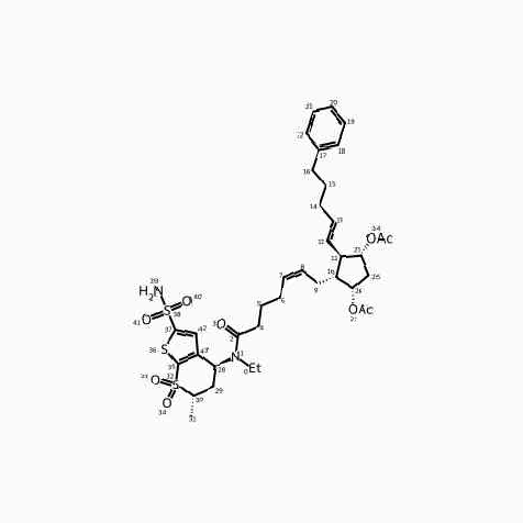 CCN(C(=O)CCC/C=C\C[C@@H]1[C@@H](/C=C/CCCc2ccccc2)[C@H](OC(C)=O)C[C@@H]1OC(C)=O)[C@H]1C[C@H](C)S(=O)(=O)c2sc(S(N)(=O)=O)cc21